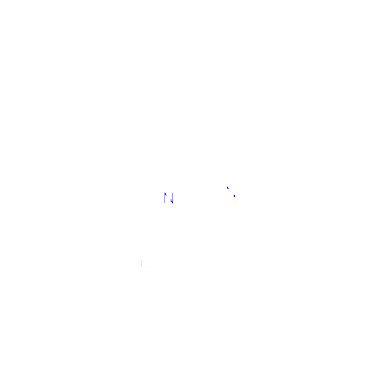 CCc1cccc(CC)c1-c1cc2ccn(Cc3ccccc3OC)c2cn1